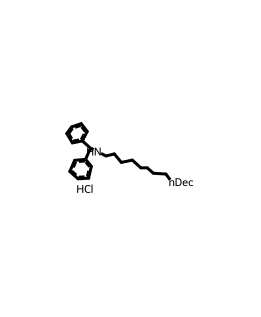 CCCCCCCCCCCCCCCCCCNC(c1ccccc1)c1ccccc1.Cl